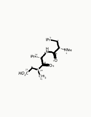 CN[C@@H](CC(C)C)C(=O)N[C@H](C(=O)N(C)CC(=O)O)C(C)C